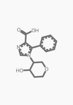 O=C(O)c1ncn(C2COCCC2O)c1-c1ccccc1